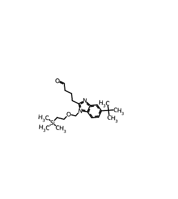 CC(C)(C)c1ccc2c(c1)nc(CCCC=O)n2COCC[Si](C)(C)C